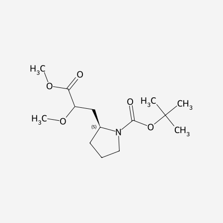 COC(=O)C(C[C@@H]1CCCN1C(=O)OC(C)(C)C)OC